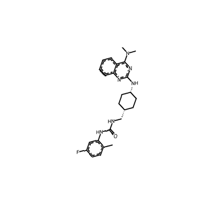 Cc1ccc(F)cc1NC(=O)NC[C@H]1CC[C@@H](Nc2nc(N(C)C)c3ccccc3n2)CC1